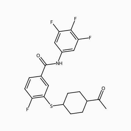 CC(=O)C1CCC(Sc2cc(C(=O)Nc3cc(F)c(F)c(F)c3)ccc2F)CC1